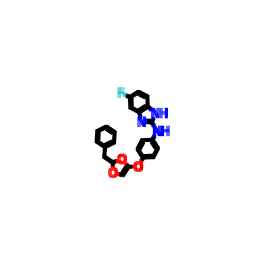 Fc1ccc2[nH]c(Nc3ccc(OC4=COC(Cc5ccccc5)O4)cc3)nc2c1